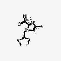 COC(Cn1cc(Br)nc1C(N)=O)OC